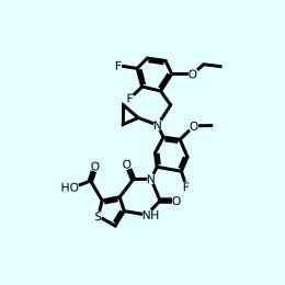 CCOc1ccc(F)c(F)c1CN(c1cc(-n2c(=O)[nH]c3csc(C(=O)O)c3c2=O)c(F)cc1OC)C1CC1